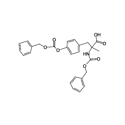 CC(Cc1ccc(OC(=O)OCc2ccccc2)cc1)(NC(=O)OCc1ccccc1)C(=O)O